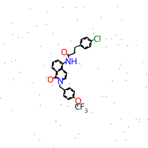 O=C(CCc1ccc(Cl)cc1)Nc1cccc2c(=O)n(Cc3ccc(OC(F)(F)F)cc3)ccc12